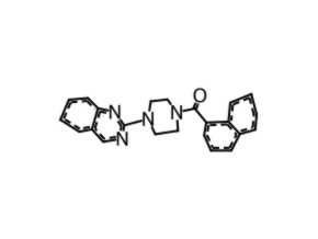 O=C(c1cccc2ccccc12)N1CCN(c2ncc3ccccc3n2)CC1